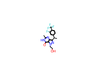 Cc1nc2c(C(C)c3ccc(C(F)(F)F)c(F)c3)nn(CCO)c2c(=O)[nH]1